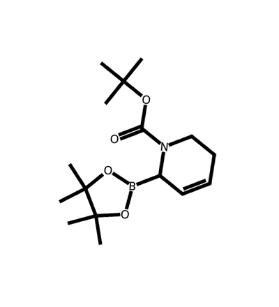 CC(C)(C)OC(=O)N1CCC=CC1B1OC(C)(C)C(C)(C)O1